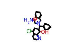 NC(=O)CN(Cc1ccccc1)C(c1ccccc1)c1cc(Cl)c2cccnc2c1O